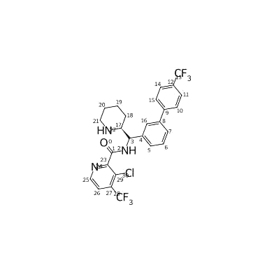 O=C(NC(c1cccc(-c2ccc(C(F)(F)F)cc2)c1)[C@@H]1CCCCN1)c1nccc(C(F)(F)F)c1Cl